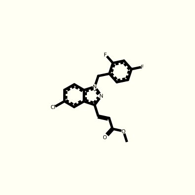 COC(=O)C=Cc1nn(Cc2ccc(F)cc2F)c2ccc(Cl)cc12